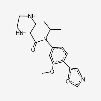 COc1cc(N(C(=O)C2CNCCN2)C(C)C)ccc1-c1cnco1